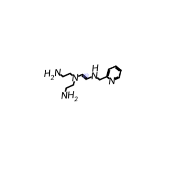 NCCN(/C=C/NCc1ccccn1)CCN